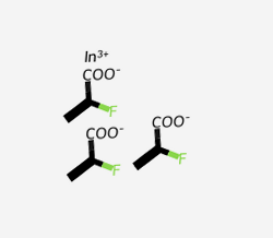 C=C(F)C(=O)[O-].C=C(F)C(=O)[O-].C=C(F)C(=O)[O-].[In+3]